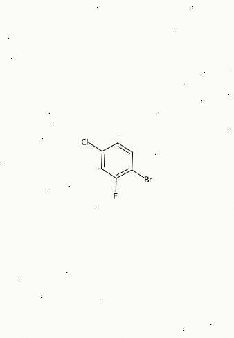 Fc1[c]c(Cl)ccc1Br